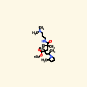 C=C1CCCN1C(C)CC(C)(CC(C)(CC)C(=O)NCCCN(C)C)C(=O)OCCCC